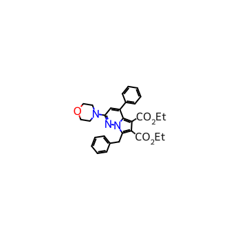 CCOC(=O)c1c(C(=O)OCC)c2c(-c3ccccc3)cc(N3CCOCC3)nn2c1Cc1ccccc1